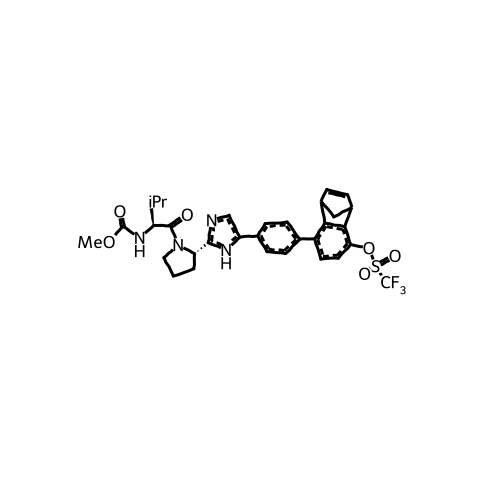 COC(=O)N[C@H](C(=O)N1CCC[C@H]1c1ncc(-c2ccc(-c3ccc(OS(=O)(=O)C(F)(F)F)c4c3C3C=CC4C3)cc2)[nH]1)C(C)C